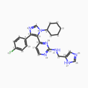 Fc1ccc(-c2ncn(C3CCCCC3)c2-c2ccnc(NCc3cnc[nH]3)n2)cc1